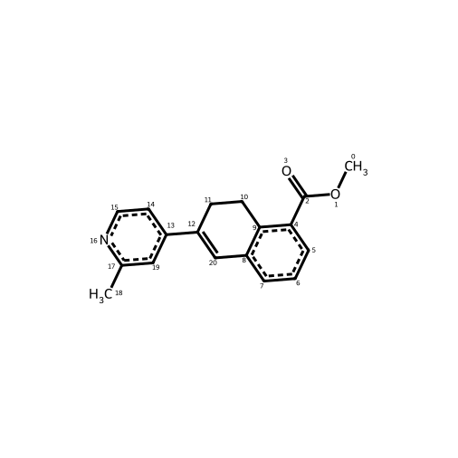 COC(=O)c1cccc2c1CCC(c1ccnc(C)c1)=C2